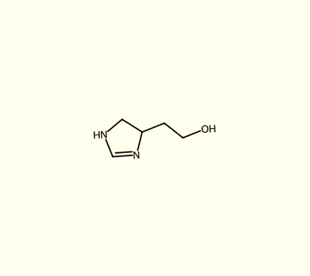 OCCC1CNC=N1